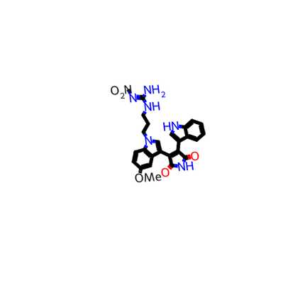 COc1ccc2c(c1)c(C1=C(c3c[nH]c4ccccc34)C(=O)NC1=O)cn2CCCNC(N)=N[N+](=O)[O-]